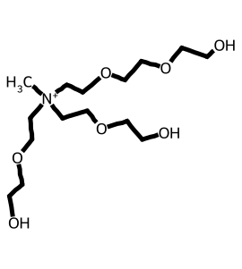 C[N+](CCOCCO)(CCOCCO)CCOCCOCCO